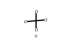 ClC(Cl)(Cl)Cl.[U]